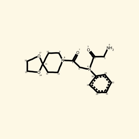 NCC(=O)N(CC(=O)N1CCC2(CC1)OCCO2)c1ccccc1